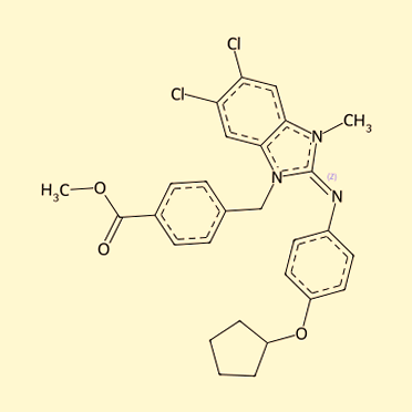 COC(=O)c1ccc(Cn2/c(=N\c3ccc(OC4CCCC4)cc3)n(C)c3cc(Cl)c(Cl)cc32)cc1